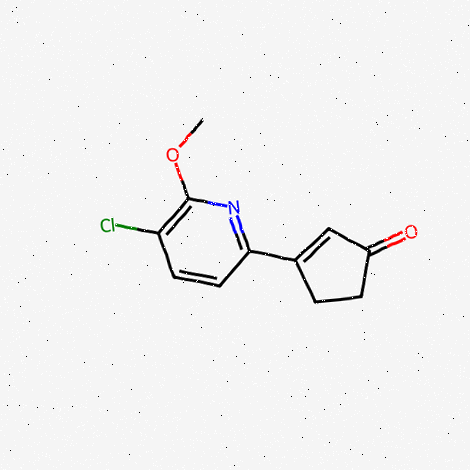 COc1nc(C2=CC(=O)CC2)ccc1Cl